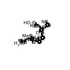 COc1cc(OCc2cccc(-c3cccc(COc4cc(OCc5cncc(C#N)c5)c(CNCC(O)CC(=O)O)cc4Cl)c3C)c2C)c(Cl)cc1CNCC(=O)NS(C)(=O)=O